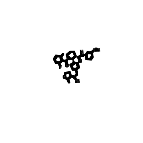 CCN(Cc1ccc([C@H]2[C@@H](C(=O)Nc3cccc(C(C)(C)C)c3)CCCN2C(=O)c2c(C)cccc2F)cc1)C1CCOC1C